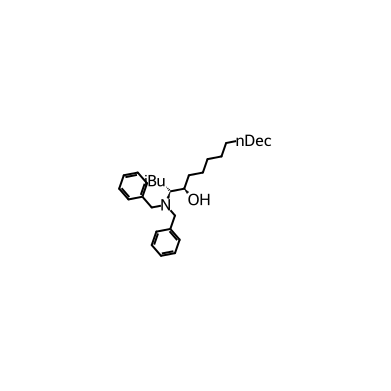 CCCCCCCCCCCCCCC[C@@H](O)[C@H]([C@@H](C)CC)N(Cc1ccccc1)Cc1ccccc1